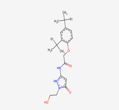 CCC(C)(C)c1ccc(OCC(=O)Nc2cc(=O)n(CCO)[nH]2)c(C(C)(C)CC)c1